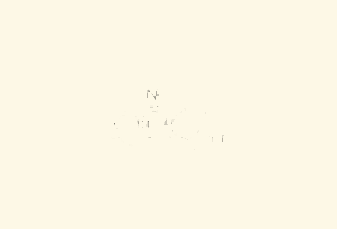 FC(F)(F)c1ccc(C2=NCCc3ccccc32)cc1